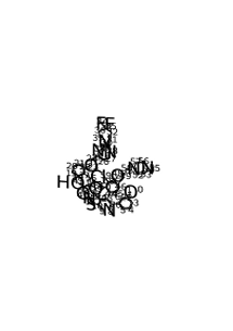 COc1cccc(-c2ncc3snc(O[C@H](Cc4ccccc4OCc4ccnc(N5CCC(F)(F)CC5)n4)C(=O)O)c3c2-c2ccc(OCCN3CCN(C)CC3)c(Cl)c2C)c1